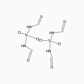 O=C[NH][Ti]([Cl])([Cl])[NH]C=O.O=C[NH][Ti]([Cl])([Cl])[NH]C=O